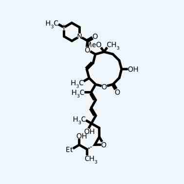 CCC(O)C(C)[C@H]1OC1CC(C)(O)/C=C/C=C(\C)C1OC(=O)CC(O)CCC(C)(OC)C(OC(=O)N2CCI(C)CC2)/C=C/C1C